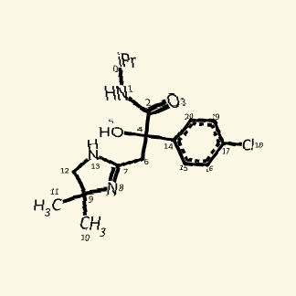 CC(C)NC(=O)C(O)(CC1=NC(C)(C)CN1)c1ccc(Cl)cc1